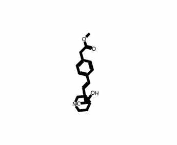 COC(=O)Cc1ccc(/C=C/C2(O)CN3CCC2CC3)cc1